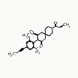 C=CC(=O)N1CCC2(CC1)CC(=O)C(c1c(C)cc(C#CC)cc1C)C(=O)C2